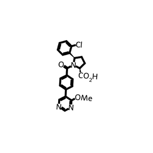 COc1ncncc1-c1ccc(C(=O)N2[C@@H](c3ccccc3Cl)CC[C@H]2C(=O)O)cc1